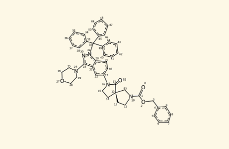 O=C(OCc1ccccc1)N1CC[C@]2(CCN(c3ccc4c(c3)c(N3CCOCC3)nn4C(c3ccccc3)(c3ccccc3)c3ccccc3)C2=O)C1